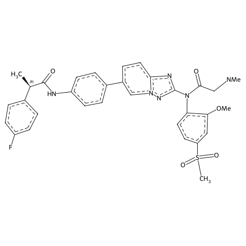 CNCC(=O)N(c1nc2ccc(-c3ccc(NC(=O)[C@H](C)c4ccc(F)cc4)cc3)cn2n1)c1ccc(S(C)(=O)=O)cc1OC